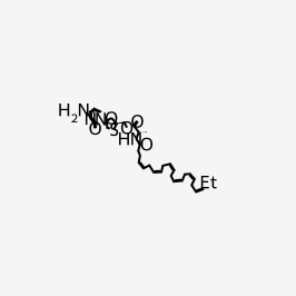 CC/C=C\C/C=C\C/C=C\C/C=C\C/C=C\C/C=C\CCC(=O)N[C@@H](C)C(=O)OC[C@@H]1OC(n2ccc(N)nc2=O)CS1